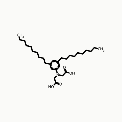 CCCCCCCCCCc1cc(CCCCCCCCCC)cc(N(CC(=O)O)CC(=O)O)c1